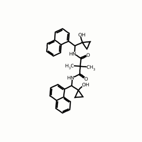 CC(C)(C(=O)NC(c1cccc2ccccc12)C1(O)CC1)C(=O)NC(c1cccc2ccccc12)C1(O)CC1